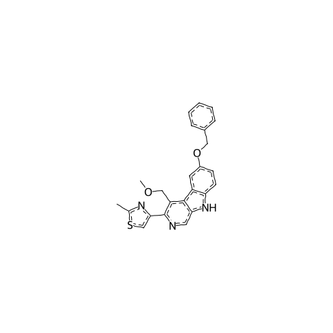 COCc1c(-c2csc(C)n2)ncc2[nH]c3ccc(OCc4ccccc4)cc3c12